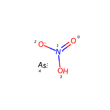 O=[N+]([O-])O.[As]